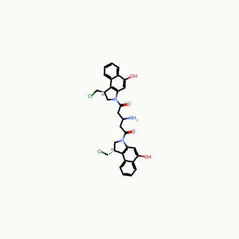 NC(CC(=O)N1C[C@@H](CCl)c2c1cc(O)c1ccccc21)CC(=O)N1C[C@@H](CCl)c2c1cc(O)c1ccccc21